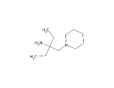 CCC(N)(CC)CN1CCCCC1